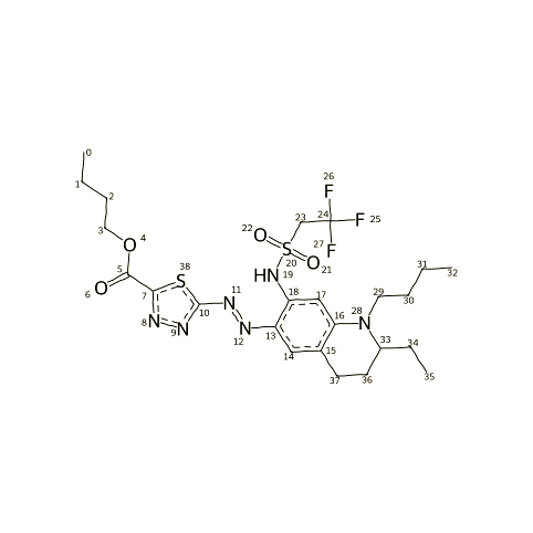 CCCCOC(=O)c1nnc(N=Nc2cc3c(cc2NS(=O)(=O)CC(F)(F)F)N(CCCC)C(CC)CC3)s1